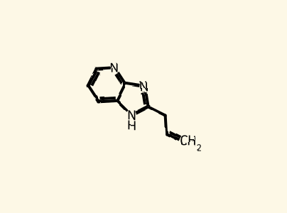 C=CCc1nc2ncccc2[nH]1